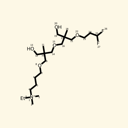 CC[N+](C)(C)CCCCOCC(C)(CO)COCC(C)(CO)COCCC(F)F